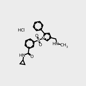 CNCc1cc(-c2ccccc2)n(S(=O)(=O)c2cccc(C(=O)NC3CC3)c2)c1.Cl